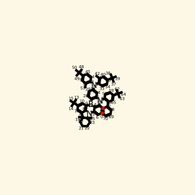 Cc1cc2c3c(c1)N1c4c(cc(C(C)(C)C)cc4C4(C)CCCCC14C)B3c1ccc(N(c3ccc(C(C)(C)C)cc3C)c3ccc(C(C)(C)C)cc3C)cc1N2c1ccc(C(C)(C)C)cc1-c1ccccc1